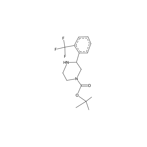 CC(C)(C)OC(=O)N1CCNC(c2ccccc2C(F)(F)F)C1